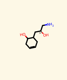 NC[C@@H](O)CC1CC=CCC1O